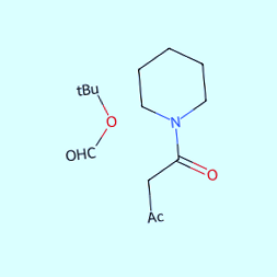 CC(=O)CC(=O)N1CCCCC1.CC(C)(C)OC=O